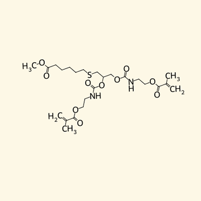 C=C(C)C(=O)OCCNC(=O)OCC(CSCCCCCC(=O)OC)OC(=O)NCCOC(=O)C(=C)C